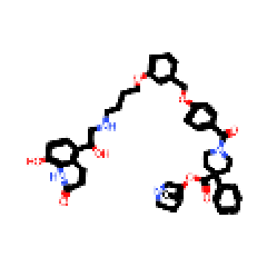 O=C(c1ccc(OCc2cccc(OCCCCNCC(O)c3ccc(O)c4[nH]c(=O)ccc34)c2)cc1)N1CCC(C(=O)OC2CN3CCC2CC3)(c2ccccc2)CC1